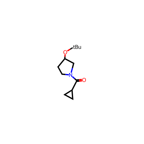 CC(C)(C)OC1CCN(C(=O)C2CC2)C1